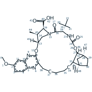 COc1ccc2nc3c(nc2c1)O[C@H]1CN(C(=O)[C@H](C(C)(C)C)NC(=O)O[C@@H]2[C@H]4CC[C@H](C4)[C@H]2CCCCC3)[C@H](C(=O)O)[C@@H]1C